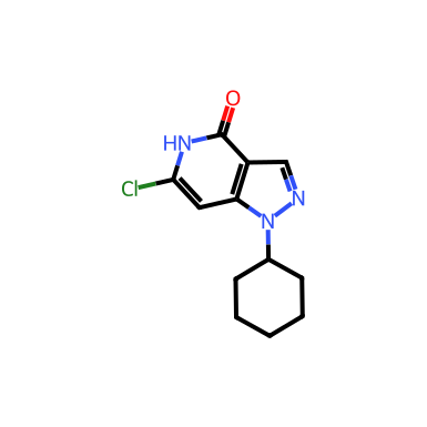 O=c1[nH]c(Cl)cc2c1cnn2C1CCCCC1